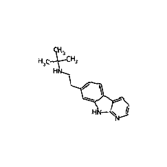 CC(C)(C)NCCc1ccc2c(c1)[nH]c1ncccc12